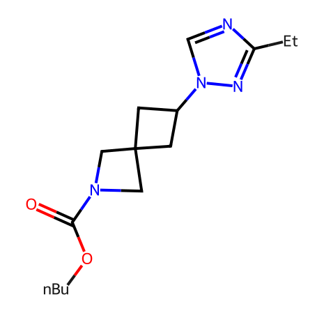 CCCCOC(=O)N1CC2(CC(n3cnc(CC)n3)C2)C1